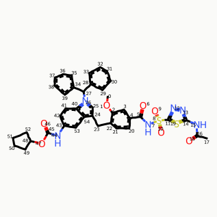 COc1cc(C(=O)NS(=O)(=O)c2nnc(NC(C)=O)s2)ccc1Cc1cn(C(c2ccccc2)c2ccccc2)c2ccc(NC(=O)OC3CCCC3)cc12